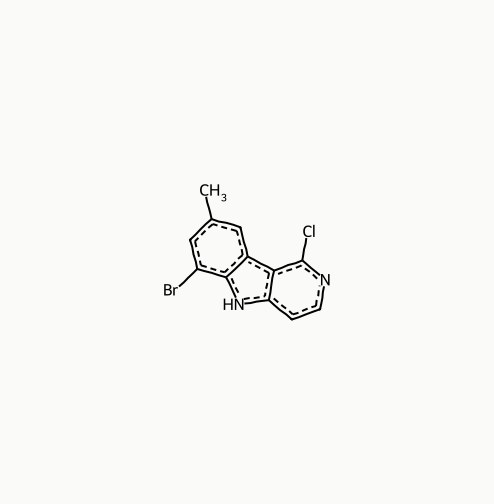 Cc1cc(Br)c2[nH]c3ccnc(Cl)c3c2c1